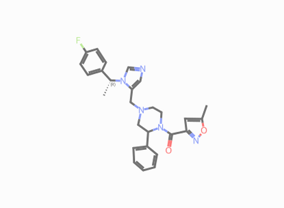 Cc1cc(C(=O)N2CCN(Cc3cncn3[C@H](C)c3ccc(F)cc3)CC2c2ccccc2)no1